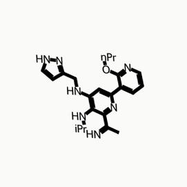 CCCOc1ncccc1-c1cc(NCc2cc[nH]n2)c(NC(C)C)c(C(C)=N)n1